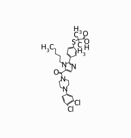 CCCCCn1c(C(=O)N2CCN(c3ccc(Cl)c(Cl)c3)CC2)cnc1-c1ccc(SC(C)(C)C(=O)O)cc1